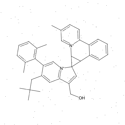 Cc1ccc2[n+](c1)C1C(c3ccccc3-2)C12C=C(CO)c1cc(CC(C)(C)C)c(-c3c(C)cccc3C)c[n+]12